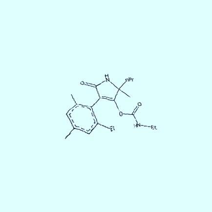 CCCC1(C)NC(=O)C(c2c(C)cc(C)cc2CC)=C1OC(=O)NCC